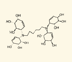 O[C@H]1[C@H](O)[C@@H](N(CCCCCCN([C@H]2C=C[C@@H](O)[C@@H](O)[C@@H]2O)[C@H]2C=C[C@@H](O)[C@@H](O)[C@@H]2O)[C@H]2C=C[C@@H](O)[C@@H](O)[C@@H]2O)C=C[C@H]1O